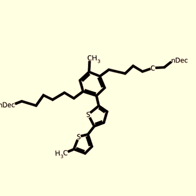 CCCCCCCCCCCCCCCCc1cc(-c2ccc(-c3ccc(C)s3)s2)c(CCCCCCCCCCCCCCCC)cc1C